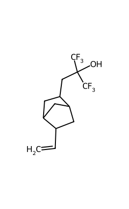 C=CC1CC2CC1CC2CC(O)(C(F)(F)F)C(F)(F)F